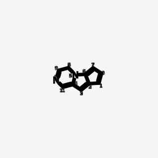 C1=Cc2cc3n(c2=C1)CC=NC=3